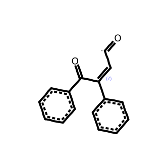 O=[C]/C=C(\C(=O)c1ccccc1)c1ccccc1